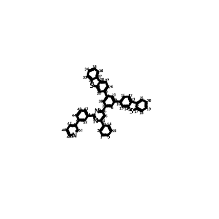 c1ccc(-c2cc(-c3cc(-c4ccc5c(c4)sc4ccccc45)cc(-c4ccc5c(c4)sc4ccccc45)c3)nc(-c3cccc(-c4cccnc4)c3)n2)cc1